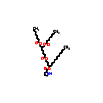 CCCCCCCCCCCCC(CCCOC(=O)CCCCC(COC(=O)CCCCCCC)COC(=O)CCCCCCC)OC(=O)C1CCCN1